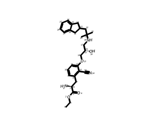 CCOC(=O)[C@@H](N)Cc1cccc(OC[C@@H](O)CNC(C)(C)CC2Cc3ccccc3C2)c1C#N